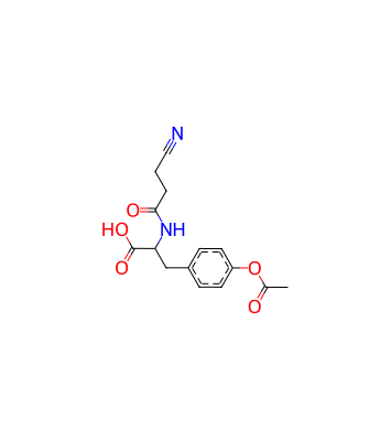 CC(=O)Oc1ccc(CC(NC(=O)CCC#N)C(=O)O)cc1